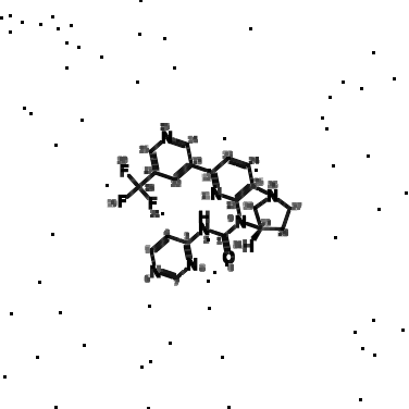 O=C(Nc1ccncn1)N1c2nc(-c3cncc(C(F)(F)F)c3)ccc2N2CC[C@H]1C2